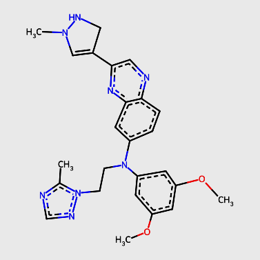 COc1cc(OC)cc(N(CCn2ncnc2C)c2ccc3ncc(C4=CN(C)NC4)nc3c2)c1